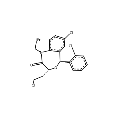 CC(C)CN1C(=O)[C@@H](CCCl)O[C@H](c2ccccc2Cl)c2cc(Cl)ccc21